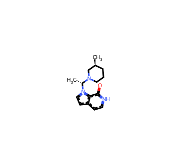 C[C@H]1CCCN([C@@H](C)n2ccc3cc[nH]c(=O)c32)C1